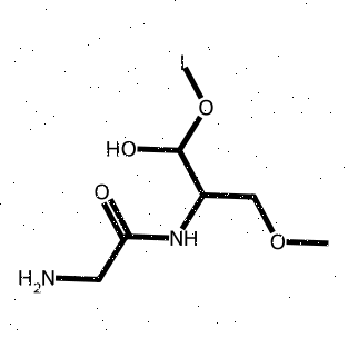 COCC(NC(=O)CN)C(O)OI